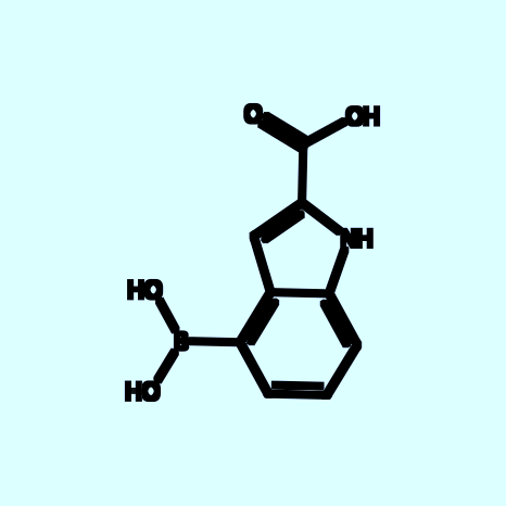 O=C(O)c1cc2c(B(O)O)cccc2[nH]1